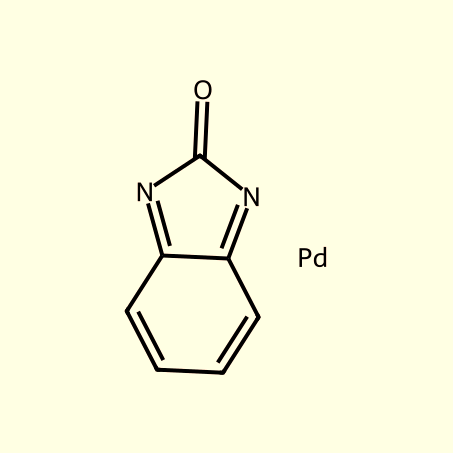 O=C1N=c2ccccc2=N1.[Pd]